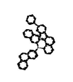 c1ccc(-c2ccc3c(c2)oc2c3ccc3cccc(N(c4ccc5ccccc5c4)c4ccc5c(ccc6ccccc65)c4)c32)cc1